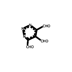 O=Cc1nnnc(C=O)c1C=O